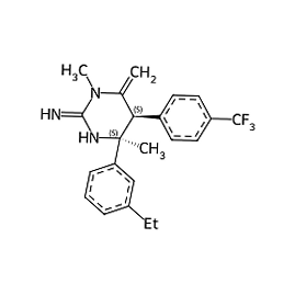 C=C1[C@@H](c2ccc(C(F)(F)F)cc2)[C@@](C)(c2cccc(CC)c2)NC(=N)N1C